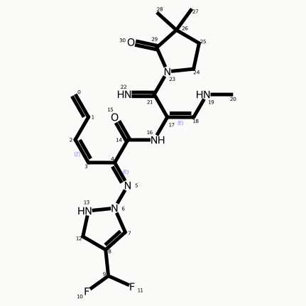 C=C/C=C\C(=N/N1C=C(C(F)F)CN1)C(=O)N/C(=C/NC)C(=N)N1CCC(C)(C)C1=O